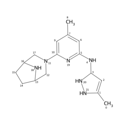 CC1=CC(Nc2cc(C)cc(N3CC4CCC(C3)N4)n2)NN1